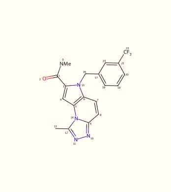 CNC(=O)c1cc2c(ccc3nnc(C)n32)n1Cc1cccc(C(F)(F)F)c1